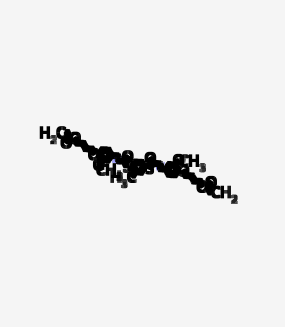 C=CC(=O)OCCCCOc1ccc(/C=C/C(=O)Sc2ccc(SC(=O)/C=C/c3ccc(OCCCCOC(=O)C=C)c(OC)c3)c(C)c2)cc1OC